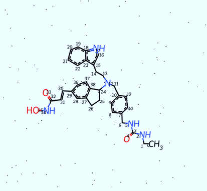 CCNC(=O)NCc1ccc(CN(CCc2c[nH]c3ccccc23)C2CCc3cc(C=CC(=O)NO)ccc32)cc1